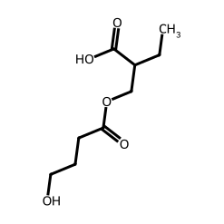 CCC(COC(=O)CCCO)C(=O)O